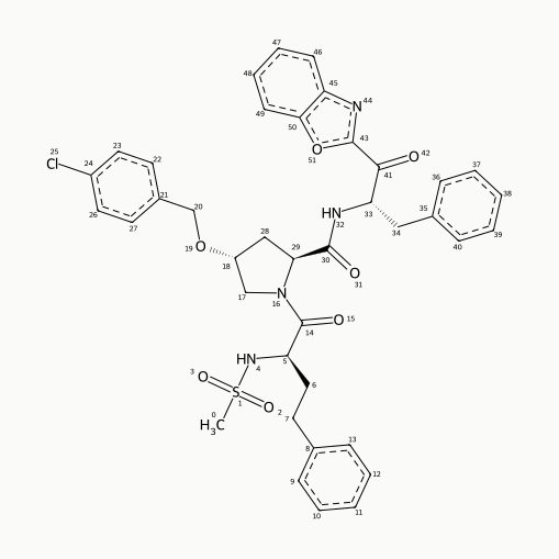 CS(=O)(=O)N[C@H](CCc1ccccc1)C(=O)N1C[C@H](OCc2ccc(Cl)cc2)C[C@H]1C(=O)N[C@@H](Cc1ccccc1)C(=O)c1nc2ccccc2o1